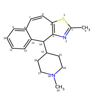 Cc1nc2c(s1)C=Cc1ccccc1C2C1CCN(C)CC1